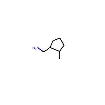 CC1CCCC1CN